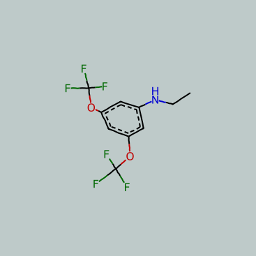 CCNc1cc(OC(F)(F)F)cc(OC(F)(F)F)c1